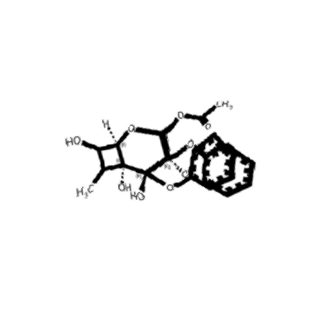 CC(=O)OC1O[C@@H]2C(O)C(C)[C@]2(O)[C@@](O)(Oc2ccccc2)[C@]1(O)Oc1ccccc1